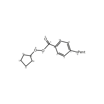 CCCCCc1ccc(C(=O)OO[C]2CCCC2)cc1